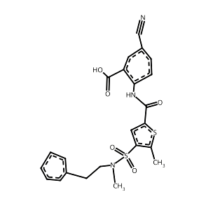 Cc1sc(C(=O)Nc2ccc(C#N)cc2C(=O)O)cc1S(=O)(=O)N(C)CCc1ccccc1